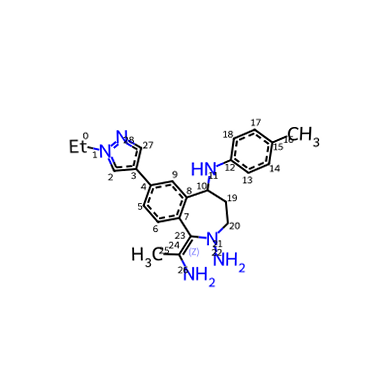 CCn1cc(-c2ccc3c(c2)C(Nc2ccc(C)cc2)CCN(N)/C3=C(/C)N)cn1